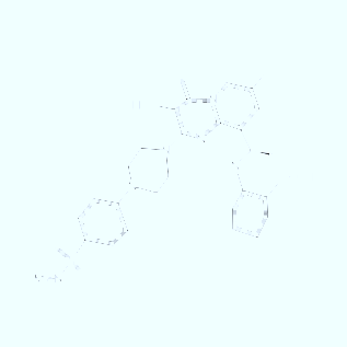 CNS(=O)(=O)c1ccc(N2CCN(c3nc4c([C@@H](C)Nc5ccccc5C(=O)O)cc(C)cn4c(=O)c3C)CC2)cc1